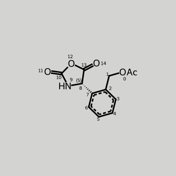 CC(=O)OCc1ccccc1[C@@H]1NC(=O)OC1=O